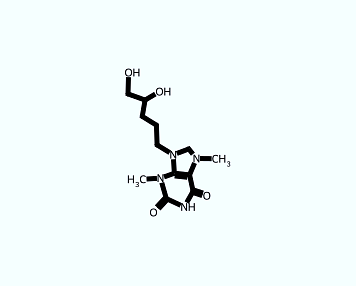 CN1CN(CCCC(O)CO)c2c1c(=O)[nH]c(=O)n2C